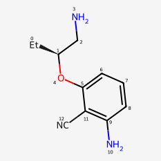 CC[C@@H](CN)Oc1cccc(N)c1C#N